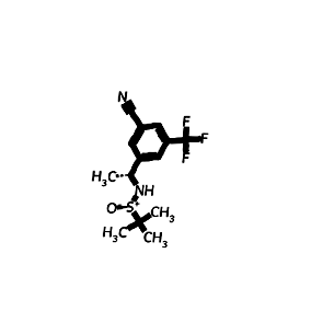 C[C@@H](N[S@+]([O-])C(C)(C)C)c1cc(C#N)cc(C(F)(F)F)c1